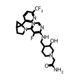 NC(=O)CN1CCC(CNc2ncnc(N3CCC4CC43c3ccc(C(F)(F)F)nc3)c2F)C(O)C1